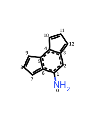 Nc1cc2c(c3c1=CC=C3)C=CC=2